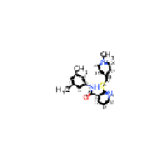 Cc1cc(C)cc(NC(=O)c2cccnc2SCc2cc[n+](C)cc2)c1